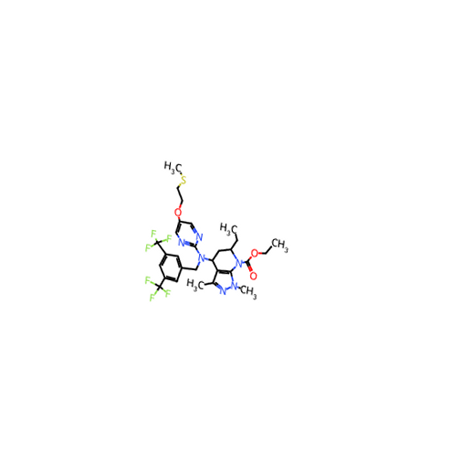 CCOC(=O)N1c2c(c(C)nn2C)C(N(Cc2cc(C(F)(F)F)cc(C(F)(F)F)c2)c2ncc(OCCSC)cn2)CC1CC